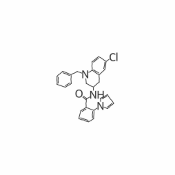 O=C(NC1Cc2cc(Cl)ccc2N(Cc2ccccc2)C1)c1ccccc1-n1cccc1